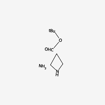 C1CNC1.CC(C)(C)OC=O.N